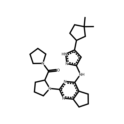 CC1(C)CCC(c2cc(Nc3nc(N4CCCC4C(=O)N4CCCC4)nc4c3CCC4)n[nH]2)C1